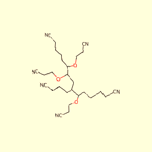 N#CCCCCC(OCCC#N)C(CCCC#N)CC(OCCC#N)C(CCCCC#N)OCCC#N